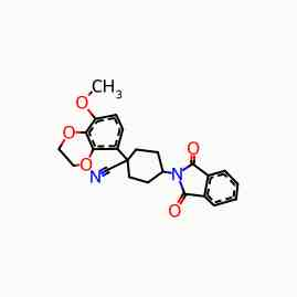 COc1ccc(C2(C#N)CCC(N3C(=O)c4ccccc4C3=O)CC2)c2c1OCCO2